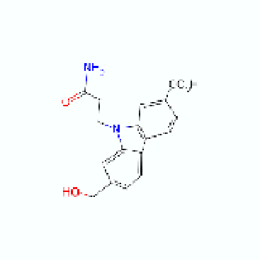 NC(=O)CCn1c2cc(CO)ccc2c2ccc(C(=O)O)cc21